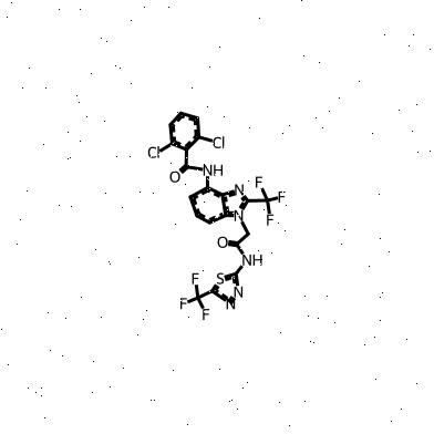 O=C(Cn1c(C(F)(F)F)nc2c(NC(=O)c3c(Cl)cccc3Cl)cccc21)Nc1nnc(C(F)(F)F)s1